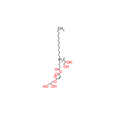 CC(O)CO.CCCCCCCCCCCCCCCCCC(=O)OC(=O)/C=C\C(=O)OCC(O)CO